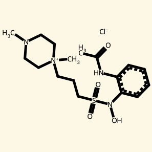 CC(=O)Nc1ccccc1N(O)S(=O)(=O)CCC[N+]1(C)CCN(C)CC1.[Cl-]